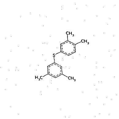 Cc1cc(C)cc(Sc2ccc(C)c(C)c2)c1